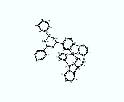 c1ccc(C2=NC(c3ccc4c(c3)C3(c5ccccc5-4)c4ccccc4-n4c5ccccc5c5cccc3c54)NC(c3ccccc3)N2)cc1